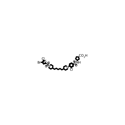 O=C(O)C1CCC(NS(=O)(=O)c2ccc(N3CCC(CCCCCC4CCN(S(=O)(=O)c5cc(Br)c(Cl)s5)CC4)CC3)c(Cl)c2)C1